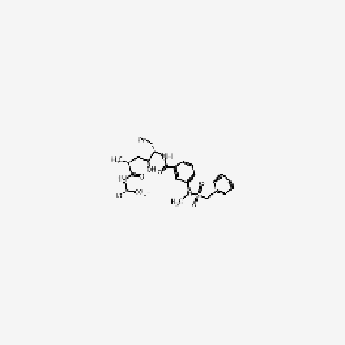 CC[C@H](NC(=O)C(C)CC(O)[C@H](CC(C)C)NC(=O)c1cccc(N(C)S(=O)(=O)Cc2ccccc2)c1)C(=O)O